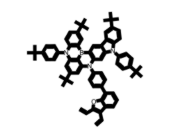 C=Cc1oc2c(-c3ccc(N4c5cc6c(cc5B5c7cc(C(C)(C)C)ccc7N(c7ccc(C(C)(C)C)cc7)c7cc(C(C)(C)C)cc4c75)c4cc(C(C)(C)C)ccc4n6-c4ccc(C(C)(C)C)cc4)cc3)cccc2c1C=C